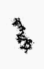 CC[C@H](C)[C@H](NC(=O)[C@H](CC(C)C)NC(=O)CNC(=O)[C@@H](NC(=O)[C@@H]1CCCN1C(=O)[C@H](CC(=O)O)NC(=O)CNC(=O)[C@H](CCC(N)=O)NC(=O)[C@H](CO)NC(=O)[C@@H](NC(=O)[C@H](Cc1c[nH]cn1)NC(=O)[C@H](CS)NC(=O)[C@H](Cc1ccc(O)cc1)NC(=O)[C@H](CC(N)=O)NC(=O)[C@H](C)NC(=O)[C@H](CO)NC(=O)[C@H](CCCCN)NC(=O)[C@H](CO)NC(=O)[C@@H](N)C(C)C)[C@@H](C)O)[C@@H](C)CC)C(=O)N[C@@H](CC(C)C)C(=O)O